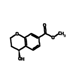 COC(=O)c1ccc2c(c1)OCC[C@@H]2O